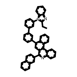 CCc1nc2ccccc2n1-c1cccc(-c2cccc(-c3cc4c(-c5ccc6ccccc6c5)nc5ccccc5c4c4ccccc34)c2)c1